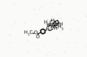 CCOC(=O)c1ccc(N2CCN([C@H]3C[C@H]4C[C@@H]([C@@H]3C)C4(C)C)CC2)cc1